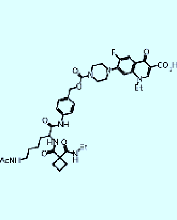 CCNC(=O)C1(C(=O)NC(CCCCNC(C)=O)C(=O)Nc2ccc(COC(=O)N3CCN(c4cc5c(cc4F)c(=O)c(C(=O)O)cn5CC)CC3)cc2)CCC1